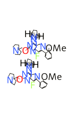 COc1ccccc1-c1ncc2c(N3C[C@H]4CC[C@@H](C3)N4)nc(OCC34CCCN3CCC4)nc2c1F.COc1ccccc1-c1ncc2c(N3C[C@H]4CC[C@@H](C3)N4)nc(OCC34CCCN3CCC4)nc2c1F